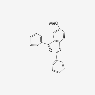 COc1ccc(N=Cc2ccccc2)c(C(=O)c2ccccc2)c1